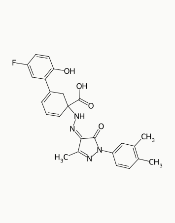 CC1=NN(c2ccc(C)c(C)c2)C(=O)C1=NNC1(C(=O)O)C=CC=C(c2cc(F)ccc2O)C1